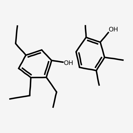 CCc1cc(O)c(CC)c(CC)c1.Cc1ccc(C)c(O)c1C